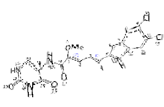 CO/C(=C\C=C\c1cc2cc(Cl)c(Cl)cc2[nH]1)C(=O)Nc1c[nH]c(=O)[nH]c1=O